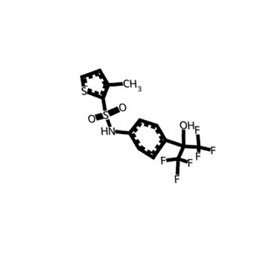 Cc1ccsc1S(=O)(=O)Nc1ccc(C(O)(C(F)(F)F)C(F)(F)F)cc1